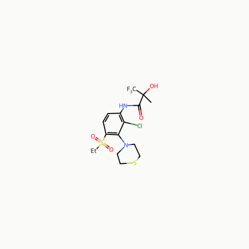 CCS(=O)(=O)c1ccc(NC(=O)C(C)(O)C(F)(F)F)c(Cl)c1N1CCSCC1